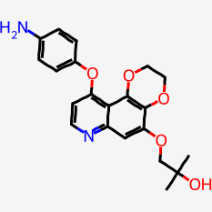 CC(C)(O)COc1cc2nccc(Oc3ccc(N)cc3)c2c2c1OCCO2